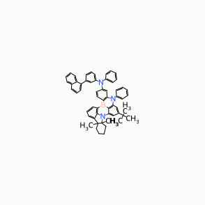 CC(C)(C)c1cc2c3c(c1)N1c4c(cccc4C4(C)CCCCC14C)B3c1ccc(N(c3ccccc3)c3cccc(-c4cccc5ccccc45)c3)cc1N2c1ccccc1